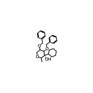 CC1OCC(OCc2ccccc2)C(OCc2ccccc2)[C@@]1(O)C1CCCCC1